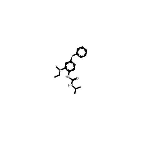 CCP(C)c1cc(Oc2ccccc2)ccc1NC(=O)NC(C)C